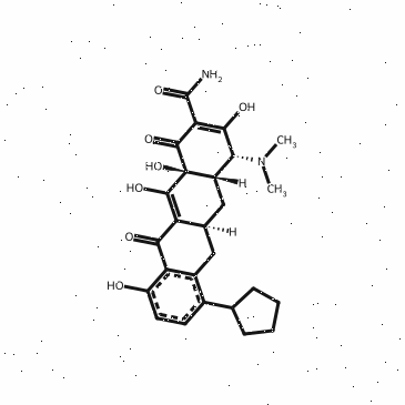 CN(C)[C@H]1C(O)=C(C(N)=O)C(=O)[C@@]2(O)C(O)=C3C(=O)c4c(O)ccc(C5CCCC5)c4C[C@@H]3C[C@@H]12